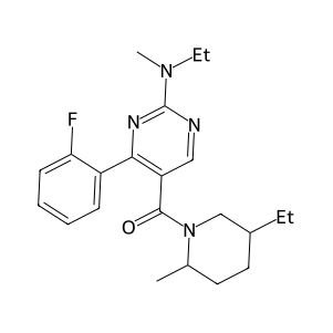 CCC1CCC(C)N(C(=O)c2cnc(N(C)CC)nc2-c2ccccc2F)C1